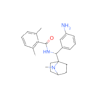 Cc1cccc(C)c1C(=O)NC(c1cccc(N)c1)C12CCC(CC1)N2C